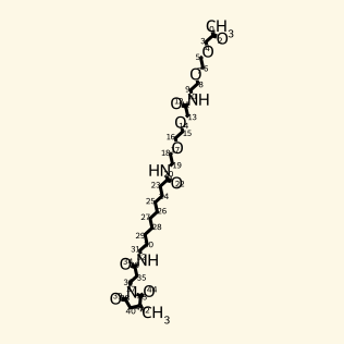 CC(=O)COCCOCCNC(=O)COCCOCCNC(=O)CCCCCCCCCNC(=O)CCN1C(=O)CC(C)C1=O